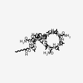 CCCCCCC[C@@H](O)CC(=O)N[C@@H](CC(C)C)C(=O)N[C@H](C)C(=O)N[C@H](CCC(N)=O)C(=O)N[C@@H](C(=O)N[C@H](CC(C)C)C(=O)N[C@@H](CCC(N)=O)C(=O)N[C@@H]1COC(=O)[C@H]([C@@H](C)CC)NC(=O)[C@@H](CCC(N)=O)NC(=O)[C@H](CC(C)C)NC(=O)[C@H](CC(C)C)NC(=O)[C@@H](CCC(N)=O)NC(=O)C(CC(C)C)NC(O)[C@@H](C(C)C)NC1=O)C(C)C